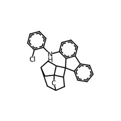 Clc1ccccc1Nc1cccc2c1C1(c3ccccc3-2)C2CC3CC4CC1C2(C3)C4